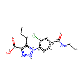 CCCc1c(C(=O)O)nnn1-c1ccc(C(=O)NCC)cc1Cl